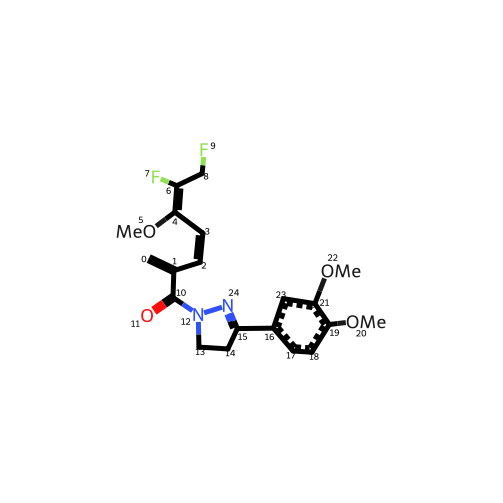 C=C(/C=C\C(OC)=C(\F)CF)C(=O)N1CCC(c2ccc(OC)c(OC)c2)=N1